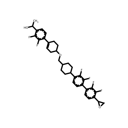 CC(O)c1ccc(C2=CCC(OCC3CCC(c4ccc(-c5ccc(C6CO6)c(F)c5F)c(F)c4F)CC3)CC2)c(F)c1F